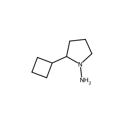 NN1CCCC1C1CCC1